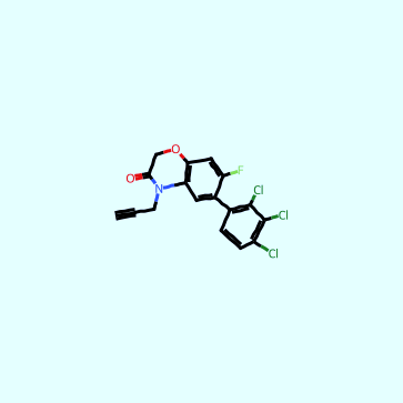 C#CCN1C(=O)COc2cc(F)c(-c3ccc(Cl)c(Cl)c3Cl)cc21